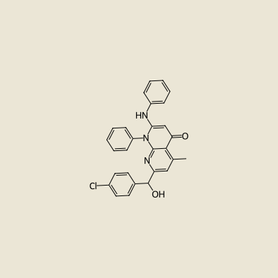 Cc1cc(C(O)c2ccc(Cl)cc2)nc2c1c(=O)cc(Nc1ccccc1)n2-c1ccccc1